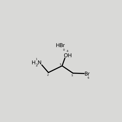 Br.NCC(O)CBr